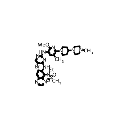 CCN(c1c(Nc2nc(Nc3cc(C)c(N4CCC(N5CCN(C)CC5)CC4)nc3OC)ncc2Br)ccc2nccnc12)S(C)(=O)=O